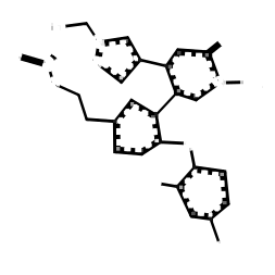 CC(C)Cn1cc(-c2cc(=O)n(C)cc2-c2cc(CCN[SH](=O)=O)ccc2Oc2ccc(F)cc2F)cn1